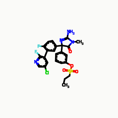 CCCS(=O)(=O)Oc1cccc(C2(c3ccc(F)c(-c4cc(Cl)cnc4F)c3)N=C(N)N(C)C2=O)c1